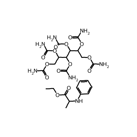 CCOC(=O)C(C)Nc1ccccc1.NC(=O)OCC(OC(N)=O)C(OC(N)=O)C(OC(N)=O)C(COC(N)=O)OC(N)=O